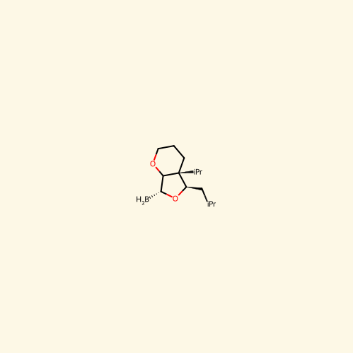 B[C@H]1O[C@H](CC(C)C)[C@@]2(C(C)C)CCCOC12